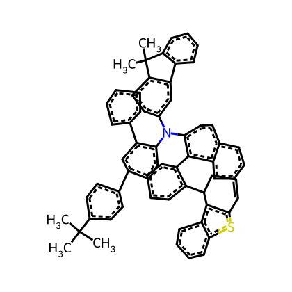 CC(C)(C)c1ccc(-c2ccc(N(c3ccc4c(c3)-c3ccccc3C4(C)C)c3ccc4ccccc4c3-c3ccccc3C3CC=Cc4sc5ccccc5c43)c(-c3ccccc3)c2)cc1